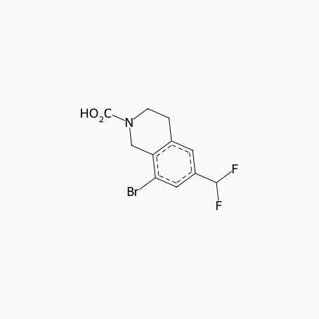 O=C(O)N1CCc2cc(C(F)F)cc(Br)c2C1